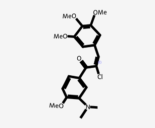 COc1ccc(C(=O)/C(Cl)=C\c2cc(OC)c(OC)c(OC)c2)cc1N(C)C